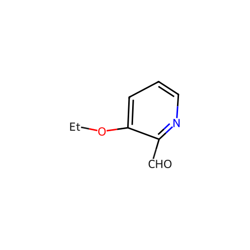 CCOc1cccnc1C=O